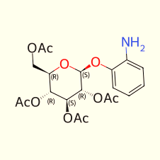 CC(=O)OC[C@H]1O[C@@H](Oc2ccccc2N)[C@H](OC(C)=O)[C@@H](OC(C)=O)[C@@H]1OC(C)=O